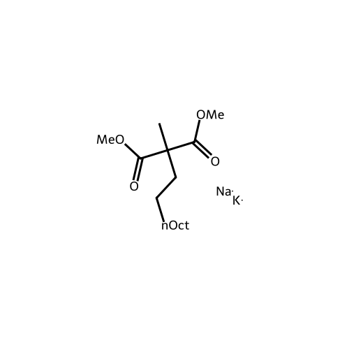 CCCCCCCCCCC(C)(C(=O)OC)C(=O)OC.[K].[Na]